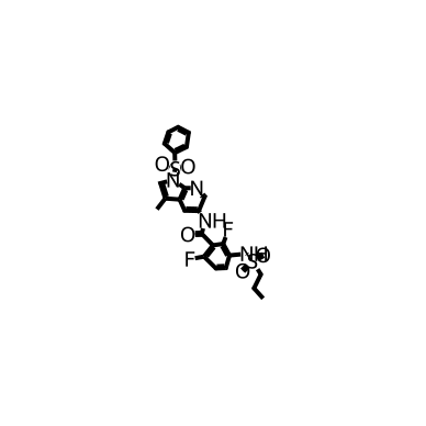 CCCS(=O)(=O)Nc1ccc(F)c(C(=O)Nc2cnc3c(c2)c(C)cn3S(=O)(=O)c2ccccc2)c1F